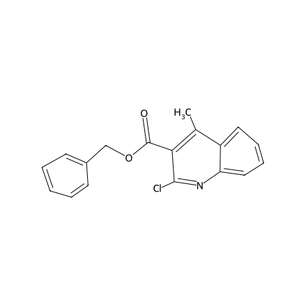 Cc1c(C(=O)OCc2ccccc2)c(Cl)nc2ccccc12